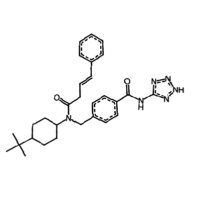 CC(C)(C)C1CCC(N(Cc2ccc(C(=O)Nc3nn[nH]n3)cc2)C(=O)CC=Cc2ccccc2)CC1